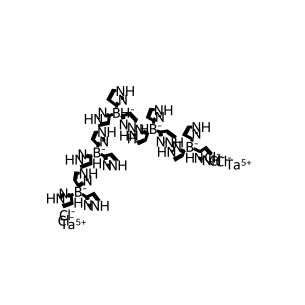 [Cl-].[Cl-].[Cl-].[Cl-].[Cl-].[Ta+5].[Ta+5].c1cc([BH-](c2cc[nH]n2)c2cc[nH]n2)n[nH]1.c1cc([BH-](c2cc[nH]n2)c2cc[nH]n2)n[nH]1.c1cc([BH-](c2cc[nH]n2)c2cc[nH]n2)n[nH]1.c1cc([BH-](c2cc[nH]n2)c2cc[nH]n2)n[nH]1.c1cc([BH-](c2cc[nH]n2)c2cc[nH]n2)n[nH]1